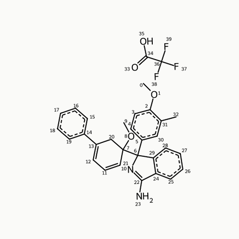 COc1ccc(C2(C3(OC)C=CC=C(c4ccccc4)C3)N=C(N)c3ccccc32)cc1C.O=C(O)C(F)(F)F